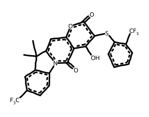 CC1(C)c2cc(C(F)(F)F)ccc2-n2c1cc1oc(=O)c(Sc3ccccc3C(F)(F)F)c(O)c1c2=O